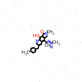 CN/N=C(\C)c1c2c(c(O)c3ncc(Cc4ccc(C)cc4)cc13)C(=O)N(C)C2